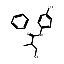 CC(CS)C(=O)Nc1ccc(O)cc1.c1ccccc1